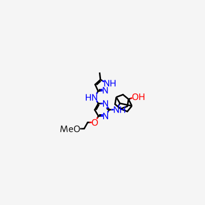 COCCOc1cc(Nc2cc(C)[nH]n2)nc(NC2C3CC4CC2C(O)(C4)C3)n1